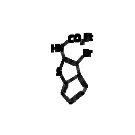 CCOC(=O)Nc1sc2ccccc2c1Br